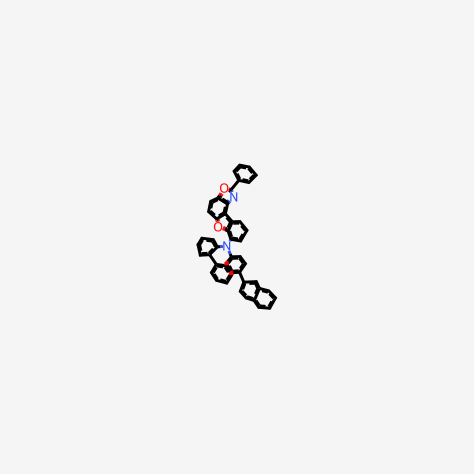 c1ccc(-c2nc3c(ccc4oc5c(N(c6ccc(-c7ccc8ccccc8c7)cc6)c6ccccc6-c6ccccc6)cccc5c43)o2)cc1